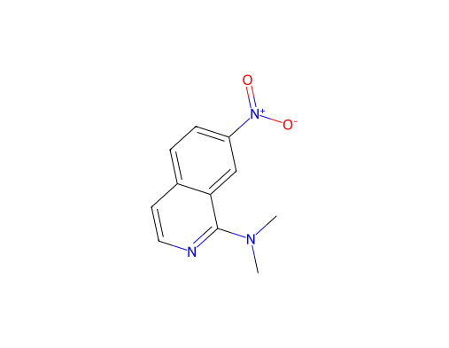 CN(C)c1nccc2ccc([N+](=O)[O-])cc12